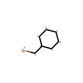 BrCC1CC[CH]CC1